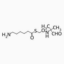 CC(C)(C=O)NOCSC(=O)CCCCCN